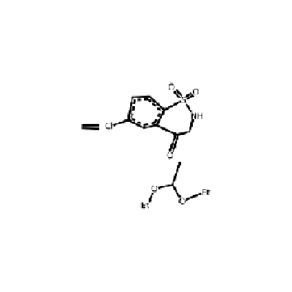 C=C.CCOC(C)OCC.O=C1CNS(=O)(=O)c2ccc(Cl)cc21